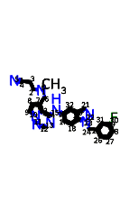 CN(CCC#N)Cc1ccn2ncnc(Nc3ccc4c(cnn4Cc4cccc(F)c4)c3)c12